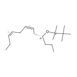 CC/C=C\C/C=C\C[C@@H](CCC)O[Si](C)(C)C(C)(C)C